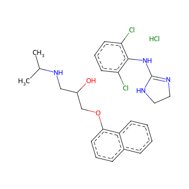 CC(C)NCC(O)COc1cccc2ccccc12.Cl.Clc1cccc(Cl)c1NC1=NCCN1